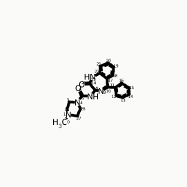 CN1CCN(C(=O)NC2N=C(c3ccccc3)c3ccccc3NC2=O)CC1